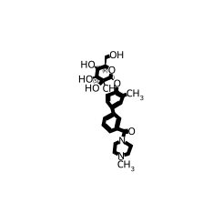 Cc1cc(-c2cccc(C(=O)N3CCN(C)CC3)c2)ccc1O[C@H]1O[C@H](CO)[C@@H](O)[C@H](O)[C@]1(C)O